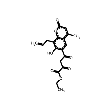 C=CCc1c(O)c(C(=O)CC(=O)C(=O)OCC)cc2c(C)cc(=O)oc12